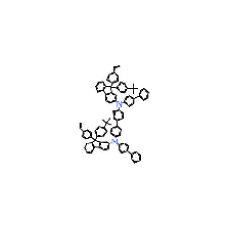 C=Cc1ccc(C2(c3ccc(C(C)(C)C)cc3)c3ccccc3-c3ccc(N(c4ccc(-c5ccccc5)cc4)c4ccc(-c5ccc(N(c6ccc(-c7ccccc7)cc6)c6ccc7c(c6)C(c6ccc(C=C)cc6)(c6ccc(C(C)(C)C)cc6)c6ccccc6-7)cc5)cc4)cc32)cc1